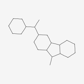 CC(C1CCCCC1)C1CCC2C(C)C3CCCCC3C2C1